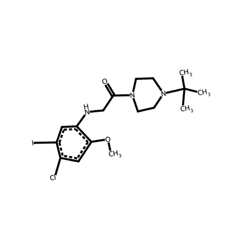 COc1cc(Cl)c(I)cc1NCC(=O)N1CCN(C(C)(C)C)CC1